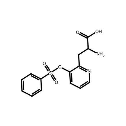 NC(Cc1ncccc1OS(=O)(=O)c1ccccc1)C(=O)O